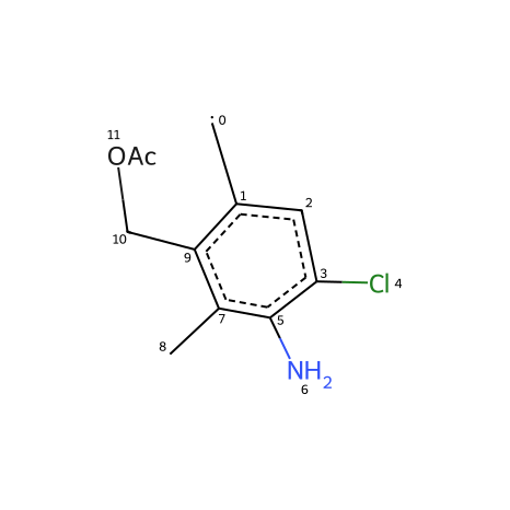 [CH2]c1cc(Cl)c(N)c(C)c1COC(C)=O